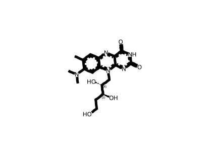 Cc1cc2nc3c(=O)[nH]c(=O)nc-3n(C[C@@H](O)[C@@H](O)CCO)c2cc1N(C)C